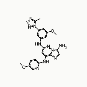 COc1ccc(Nc2cc(Nc3cc(OC)cc(-n4nnnc4C)c3)nn3c(N)cnc23)nc1